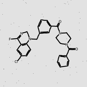 O=C(c1ccccc1)N1CCN(C(=O)c2cccc(CN3CN=C(F)c4cc(Cl)ccc43)c2)CC1